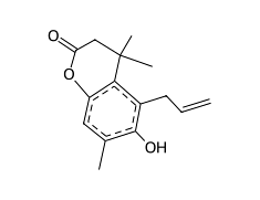 C=CCc1c(O)c(C)cc2c1C(C)(C)CC(=O)O2